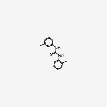 Cc1cccc(NC(=S)Nc2ccccc2C)c1